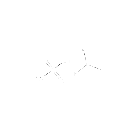 CS(=O)(=O)O.FI(F)F